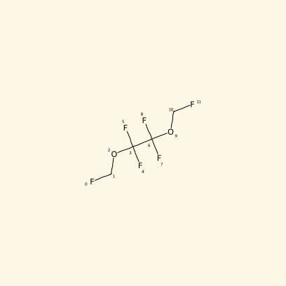 FCOC(F)(F)C(F)(F)OCF